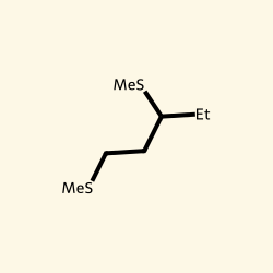 CC[C](CCSC)SC